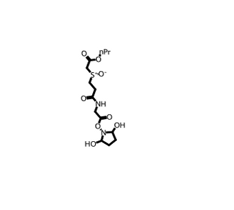 CCCOC(=O)C[S+]([O-])CCC(=O)NCC(=O)ON1C(O)CCC1O